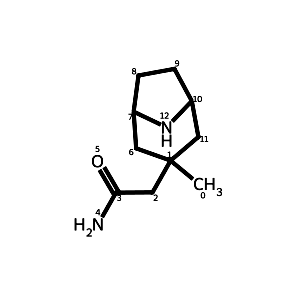 CC1(CC(N)=O)CC2CCC(C1)N2